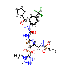 Cn1nnnc1S(=O)(=O)c1sc(NC(=O)Nc2ccc(C(F)(F)F)cc2C(=O)C2CCCC2)nc1CNS(C)(=O)=O